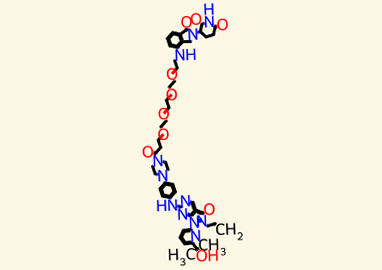 C=CCn1c(=O)c2cnc(Nc3ccc(N4CCN(C(=O)CCOCCOCCOCCOCCNc5cccc6c5CN(C5CCC(=O)NC5=O)C6=O)CC4)cc3)nc2n1-c1cccc(C(C)(C)O)n1